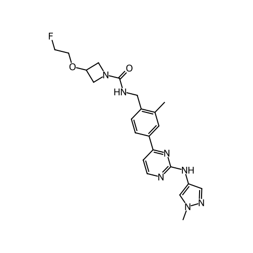 Cc1cc(-c2ccnc(Nc3cnn(C)c3)n2)ccc1CNC(=O)N1CC(OCCF)C1